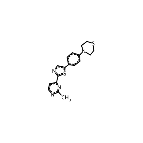 Cc1nccc(-c2ncc(-c3ccc(N4CCSCC4)cc3)s2)n1